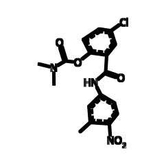 Cc1cc(NC(=O)c2cc(Cl)ccc2OC(=O)N(C)C)ccc1[N+](=O)[O-]